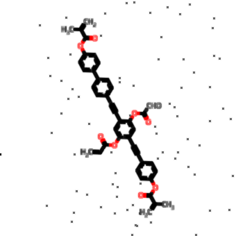 C=CC(=O)Oc1cc(C#Cc2ccc(-c3ccc(OC(=O)C(=C)C)cc3)cc2)c(OC(=O)C=O)cc1C#Cc1ccc(OC(=O)C(=C)C)cc1